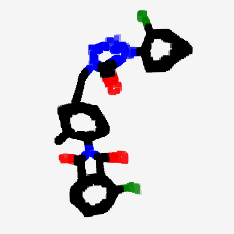 Cc1cc(Cn2nnn(-c3ccccc3Cl)c2=O)ccc1N1C(=O)c2cccc(Cl)c2C1=O